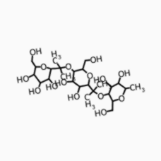 CC1OC(CO)C(OC(C)(C)C2OC(CO)C(OC(C)(C)C3OC(CO)C(O)C(O)C3O)C(O)C2O)C(O)C1O